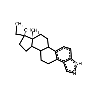 CC[C@]1(O)CCC2C3CCc4c(ccc5[nH]ncc45)C3CC[C@@]21C